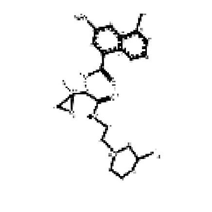 COc1cc(C(=O)O[C@H](C(=O)NCCN2CCCC(Cl)C2)[C@]2(C)CO2)c2cccc(C)c2c1